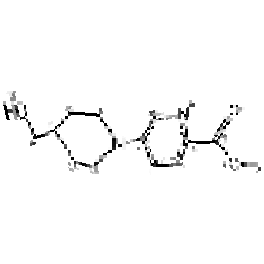 COC(=O)c1ccc(N2CCC(CO)CC2)cn1